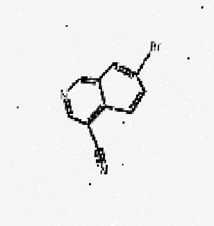 N#Cc1cncc2cc(Br)ccc12